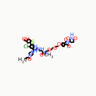 C=CC(=O)N1CCN(c2nc(NCCC(=O)N(C)CCOCCOCCOc3ccc4c(c3)C(=O)N(C3CCC(=O)NC3=O)C4=O)nc3c(F)c(C4=C(F)C=CC(CO)C4)c(Cl)cc23)CC1